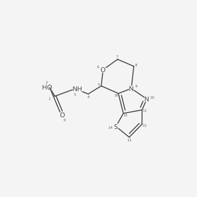 O=C(O)NCC1OCCn2nc3ccsc3c21